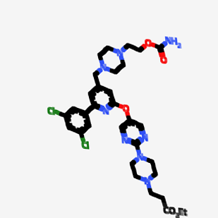 CCOC(=O)CCN1CCN(c2ncc(Oc3cc(CN4CCN(CCOC(N)=O)CC4)cc(-c4cc(Cl)cc(Cl)c4)n3)cn2)CC1